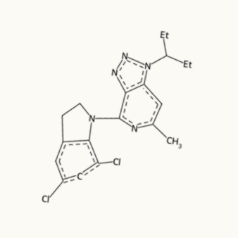 CCC(CC)n1nnc2c(N3CCc4cc(Cl)cc(Cl)c43)nc(C)cc21